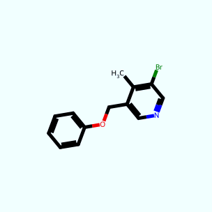 Cc1c(Br)cncc1COc1ccccc1